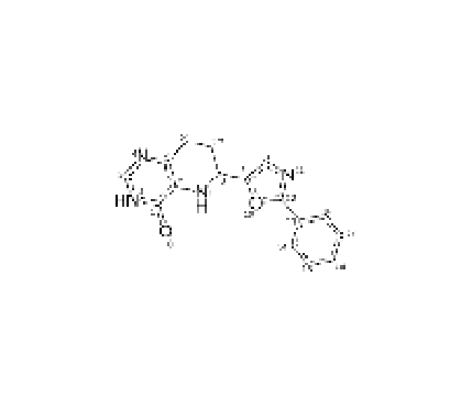 O=c1[nH]cnc2c1NC(c1cnc(-c3ccccc3)o1)CC2